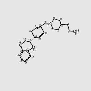 OCCC1CCN(CC2=CCC([C@H]3COc4ccccc4O3)C=C2)CC1